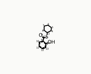 O=C(SC1CCCCC1)c1ccccc1O